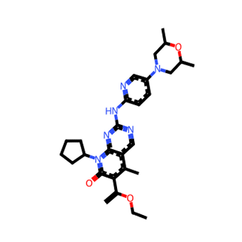 C=C(OCC)c1c(C)c2cnc(Nc3ccc(N4CC(C)OC(C)C4)cn3)nc2n(C2CCCC2)c1=O